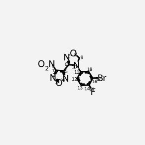 O=[N+]([O-])c1nonc1C1=NOCN1c1ccc(F)c(Br)c1